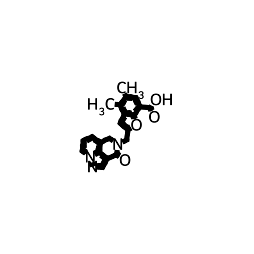 Cc1cc(C(=O)O)c2oc(CN3Cc4cccn5ncc(c45)C3=O)cc2c1C